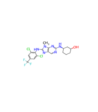 Cn1c(Nc2c(Cl)cc(C(F)(F)F)cc2Cl)nc2cnc(N[C@@H]3CCC[C@H](O)C3)nc21